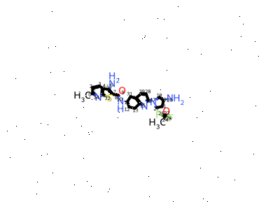 Cc1ccc2c(N)c(C(=O)N[C@H]3CCc4nc(N5C[C@@H](N)[C@@H](OC(C)(F)F)C5)ccc4C3)sc2n1